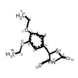 CCOc1ccc(C2SC(=O)NC2=O)cc1OCC